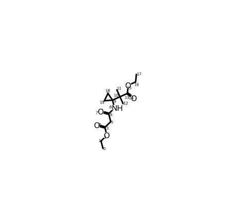 CCOC(=O)CC(=O)NC1(C(C)(C)C(=O)OCC)CC1